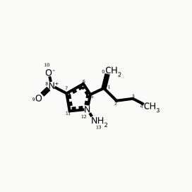 C=C(CCC)c1cc([N+](=O)[O-])cn1N